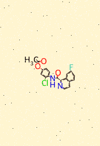 CC(=O)Oc1ccc(NC(=O)c2nccc3ccc(F)cc23)c(Cl)c1